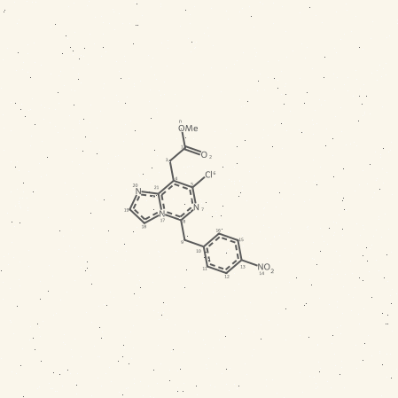 COC(=O)Cc1c(Cl)nc(Cc2ccc([N+](=O)[O-])cc2)n2ccnc12